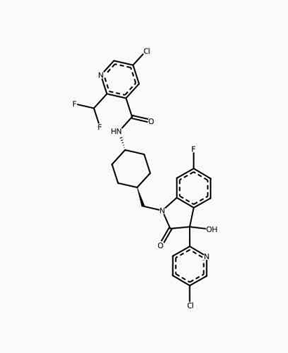 O=C(N[C@H]1CC[C@H](CN2C(=O)C(O)(c3ccc(Cl)cn3)c3ccc(F)cc32)CC1)c1cc(Cl)cnc1C(F)F